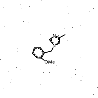 COc1ccccc1Cn1cnc(C)c1